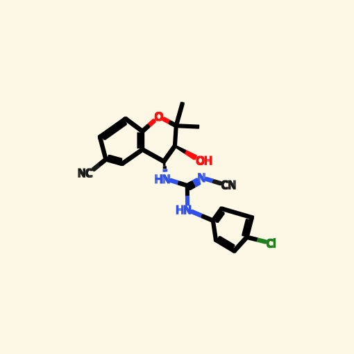 CC1(C)Oc2ccc(C#N)cc2[C@@H](NC(=NC#N)Nc2ccc(Cl)cc2)[C@@H]1O